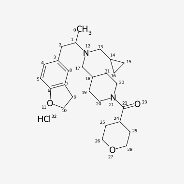 CC(Cc1ccc2c(c1)CCO2)N(CC1CC1)CC1CCN(C(=O)C2CCOCC2)CC1.Cl